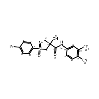 CC(C)c1ccc(S(=O)(=O)C[C@](C)(O)C(=O)Nc2ccc(C#N)c(C(F)(F)F)c2)cc1